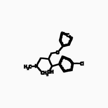 CN(C)CC(COc1ccccc1)C(O)c1ccc(Cl)cc1